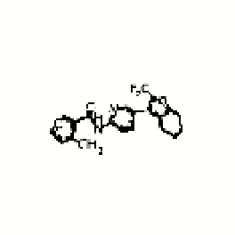 Cc1ccccc1C(=O)Nc1ccc(-c2c(C(F)(F)F)oc3c2CCCC3)cn1